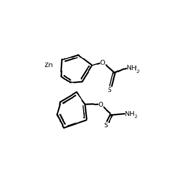 NC(=S)Oc1ccccc1.NC(=S)Oc1ccccc1.[Zn]